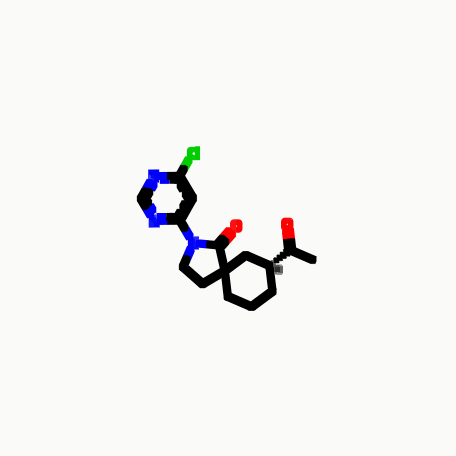 CC(=O)[C@@H]1CCCC2(CCN(c3cc(Cl)ncn3)C2=O)C1